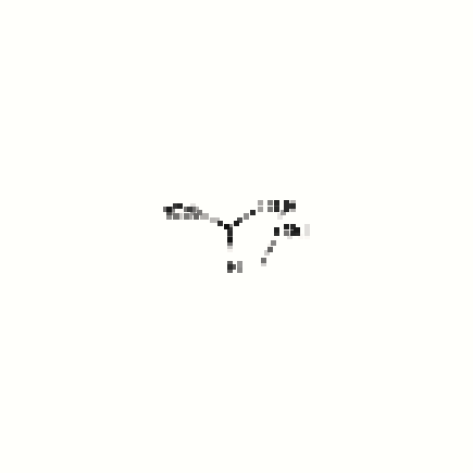 CCCCCCCCC.CCCCCCCCC(CC)C(=O)O